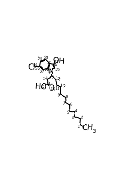 CCCCCCCCCCCCCC(CC(=O)O)n1cc(O)c2ccc(Cl)cc21